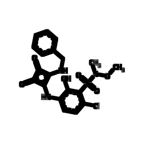 CON(C)S(=O)(=O)c1c(Cl)ccc(Nc2c(NCc3ccccc3)c(=O)c2=O)c1O